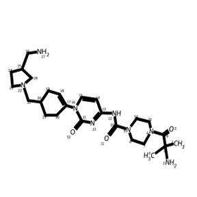 CC(C)(N)C(=O)N1CCN(C(=O)Nc2ccn(C3=CCC(CN4CCC(CN)C4)CC3)c(=O)n2)CC1